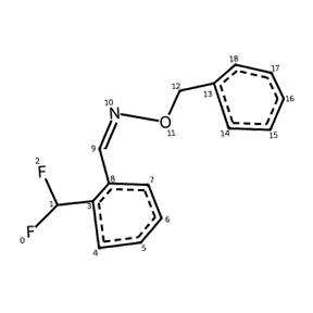 FC(F)c1ccccc1/[C]=N\OCc1ccccc1